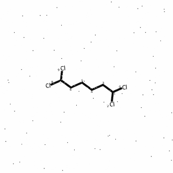 ClC(Cl)CCCCC(Cl)Cl